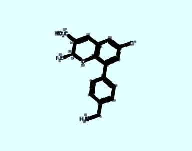 NCc1ccc(-c2cc(Cl)cc3c2O[C@@H](C(F)(F)F)C(C(=O)O)=C3)cc1